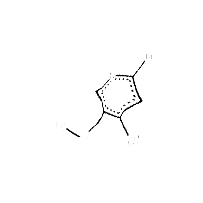 COc1cnc(Br)cc1C